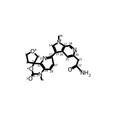 CN1C(=O)OC2(CCOC2)c2nc(-c3cn(C)c4cnc(CC(N)=O)cc34)ccc21